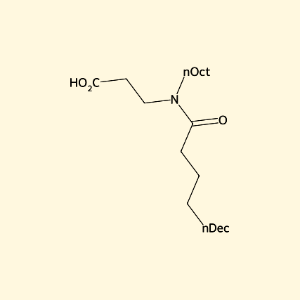 CCCCCCCCCCCCCC(=O)N(CCCCCCCC)CCC(=O)O